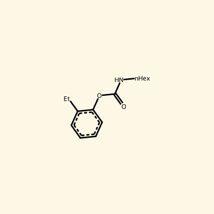 CCCCCCNC(=O)Oc1ccccc1CC